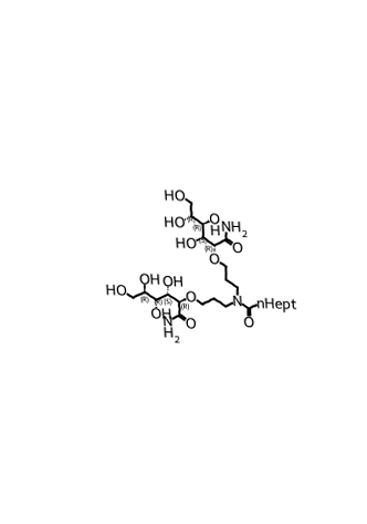 CCCCCCCC(=O)N(CCCO[C@@H](C(N)=O)[C@@H](O)[C@H](O)[C@H](O)CO)CCCO[C@@H](C(N)=O)[C@@H](O)[C@H](O)[C@H](O)CO